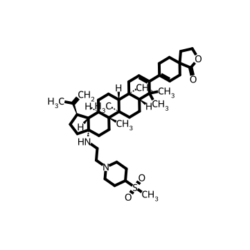 C=C(C)[C@@H]1CC[C@]2(NCCN3CCC(S(C)(=O)=O)CC3)CC[C@]3(C)[C@H](CC[C@@H]4[C@@]5(C)CC=C(C6=CCC7(CCOC7=O)CC6)C(C)(C)[C@@H]5CC[C@]43C)[C@@H]12